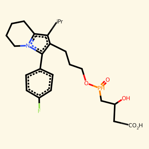 CC(C)c1c(CCCO[PH](=O)CC(O)CC(=O)O)c(-c2ccc(F)cc2)n2c1CCCC2